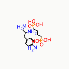 NCC(N)Cc1ccc(N)cc1.O=P(O)(O)CCCCP(=O)(O)O